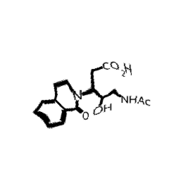 CC(=O)NCC(O)C(CC(=O)O)N1CCc2ccccc2C1=O